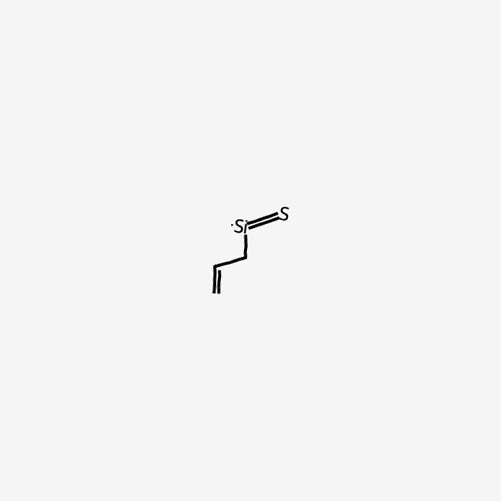 C=CC[Si]=S